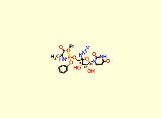 CC(C)OC(=O)[C@H](C)NP(=S)(OC[C@@]1(N=[N+]=[N-])O[C@@H](n2ccc(=O)[nH]c2=O)[C@H](O)[C@@H]1O)Oc1ccccc1